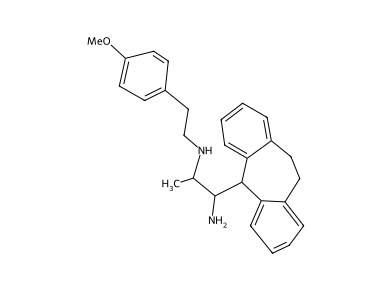 COc1ccc(CCNC(C)C(N)C2c3ccccc3CCc3ccccc32)cc1